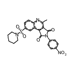 Cc1nc2ccc(S(=O)(=O)N3CCCCC3)cc2c2c1C(=O)N(c1ccc([N+](=O)[O-])cc1)C2=O